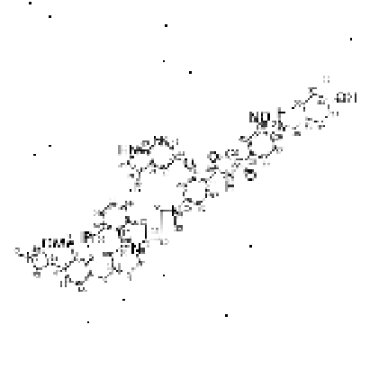 COc1cc(CN2CCN(C3CC4(C3)CN(c3ccc(C(=O)NS(=O)(=O)c5ccc(NC[C@H]6CC[C@](C)(O)CC6)c([N+](=O)[O-])c5)c(Oc5cnc6[nH]cc(F)c6c5)c3)C4)[C@H](c3ccccc3C(C)C)C2)ccc1C1CN(C)C1